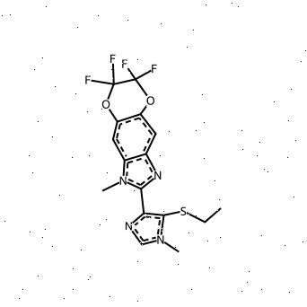 CCSc1c(-c2nc3cc4c(cc3n2C)OC(F)(F)C(F)(F)O4)ncn1C